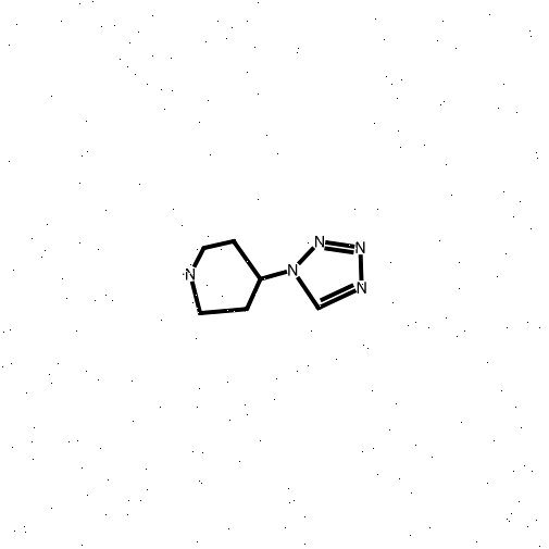 c1nnnn1C1CC[N]CC1